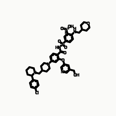 O=C(NS(=O)(=O)c1ccc(NCC2CCOCC2)c([NH+]([O-])O)c1)c1ccc(N2CCC(CN3CCCCC3c3ccc(Cl)cc3)CC2)cc1Oc1cncc(CO)c1